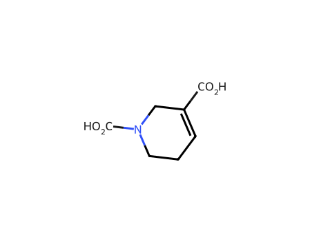 O=C(O)C1=CCCN(C(=O)O)C1